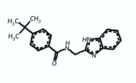 CC(C)(C)c1ccc(C(=O)NCc2nc3ccccc3[nH]2)cc1